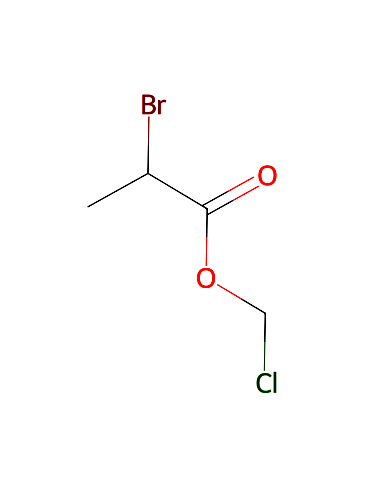 CC(Br)C(=O)OCCl